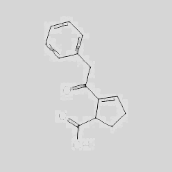 O=C(Cc1ccccc1)C1=CCCC1C(=O)O